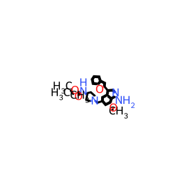 COc1cc(CN2CCC(NC(=O)OC(C)(C)C)CC2)cc2c(-c3cc4ccccc4o3)cnc(N)c12